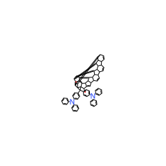 CC1C2=CC3C4C=CC5C6C=CC7C8C=CC9C%10C%11=C%12C%13=C(C7C6C6=C%13C7=C(C3C2C(=C7%12)C12C(c1ccc(N(c3ccccc3)c3ccccc3)cc1)(c1ccc(N(c3ccccc3)c3ccccc3)cc1)C%112C9C)C4C65)C8%10